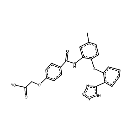 Cc1ccc(Sc2ccccc2-c2nnn[nH]2)c(NC(=O)c2ccc(OCC(=O)O)cc2)c1